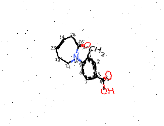 Cc1cc(C(=O)O)ccc1N1CCC=CCC1=O